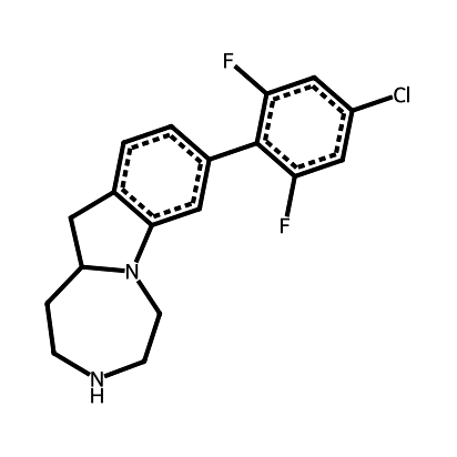 Fc1cc(Cl)cc(F)c1-c1ccc2c(c1)N1CCNCCC1C2